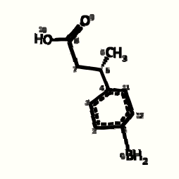 Bc1ccc([C@@H](C)CC(=O)O)cc1